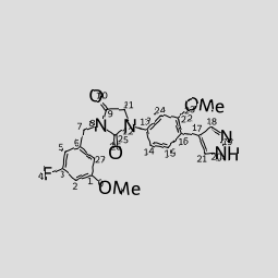 COc1cc(F)cc(CN2C(=O)CN(c3ccc(-c4cn[nH]c4)c(OC)c3)C2=O)c1